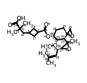 CO[C@@H]1[C@H](OC(=O)C2CC(CC(C)(C)C(=O)O)C2)CC[C@]2(CO2)[C@H]1[C@@]1(C)O[C@@H]1CC=C(C)C